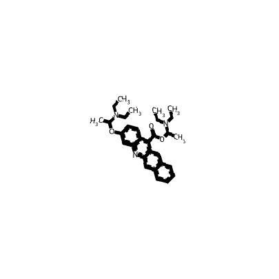 CCN(CC)C(C)OC(=O)c1c2ccc(OC(C)N(CC)CC)cc2nc2cc3ccccc3cc12